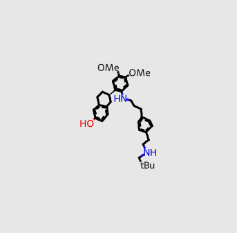 COc1cc(NCCCc2ccc(CCNCC(C)(C)C)cc2)c([C@@H]2CCc3cc(O)ccc3C2)cc1OC